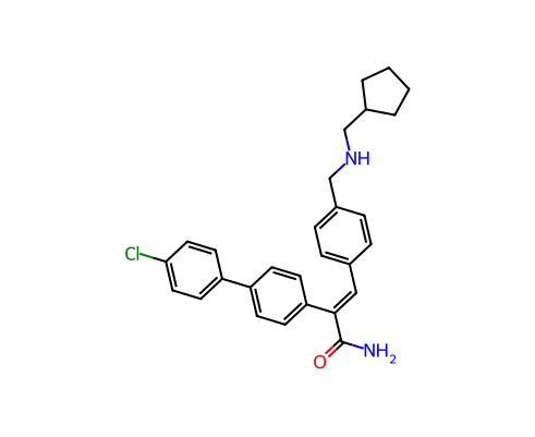 NC(=O)/C(=C/c1ccc(CNCC2CCCC2)cc1)c1ccc(-c2ccc(Cl)cc2)cc1